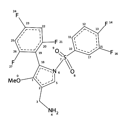 COc1c(CN)cn(S(=O)(=O)c2ccc(F)c(F)c2)c1-c1c(F)cc(F)cc1F